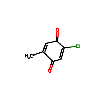 CC1=CC(=O)C(Cl)=CC1=O